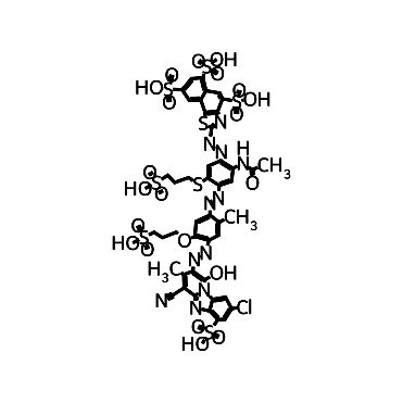 CC(=O)Nc1cc(N=Nc2cc(OCCCS(=O)(=O)O)c(N=Nc3c(C)c(C#N)c4nc5c(S(=O)(=O)O)cc(Cl)cc5n4c3O)cc2C)c(SCCCS(=O)(=O)O)cc1N=Nc1nc2c(S(=O)(=O)O)cc3c(S(=O)(=O)O)cc(S(=O)(=O)O)cc3c2s1